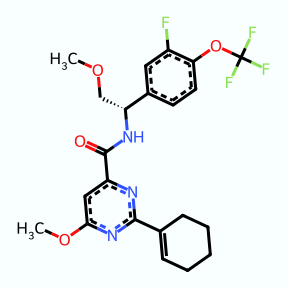 COC[C@@H](NC(=O)c1cc(OC)nc(C2=CCCCC2)n1)c1ccc(OC(F)(F)F)c(F)c1